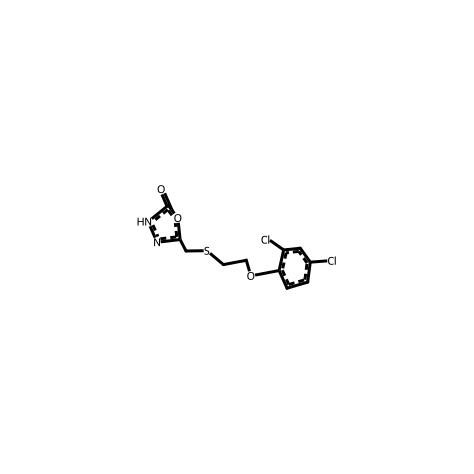 O=c1[nH]nc(CSCCOc2ccc(Cl)cc2Cl)o1